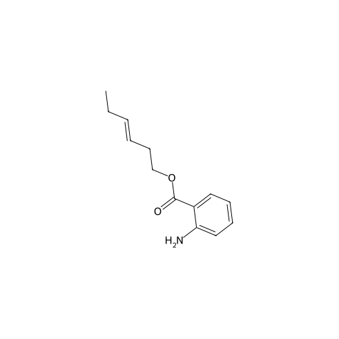 CC/C=C/CCOC(=O)c1ccccc1N